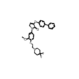 COc1cc(N2CC=C(Oc3ccc(-c4ccccc4)cc3)C2=O)ccc1OCCN1CCC(F)(F)CC1